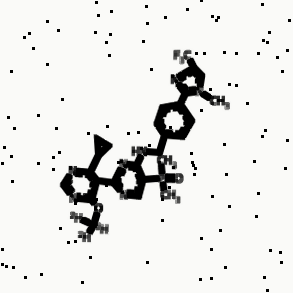 [2H]C([2H])([2H])Oc1ncnc(C2CC2)c1-c1ncc(P(C)(C)=O)c(NCc2ccc(-c3nc(C(F)(F)F)cn3C)cc2)n1